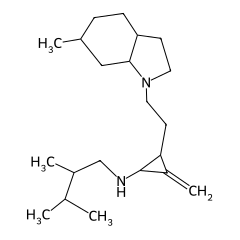 C=C1C(CCN2CCC3CCC(C)CC32)C1NCC(C)C(C)C